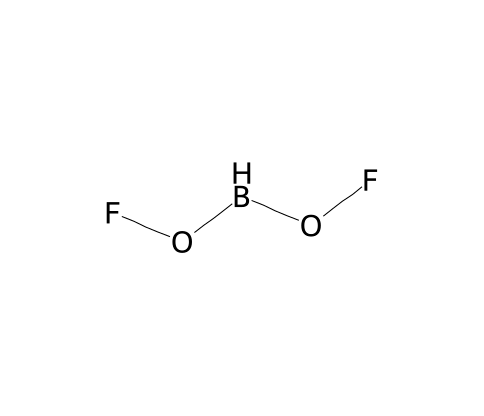 FOBOF